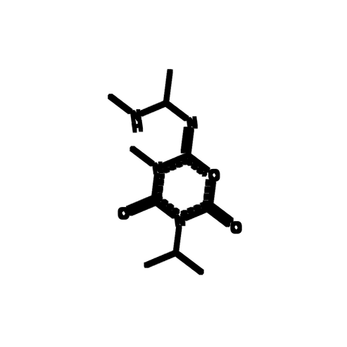 CNC(C)/N=c1/oc(=O)n(C(C)C)c(=O)n1C